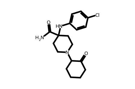 NC(=O)C1(Nc2ccc(Cl)cc2)CCN(C2CCCCC2=O)CC1